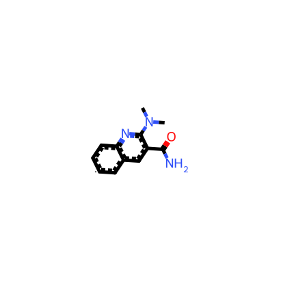 CN(C)c1nc2cc[c]cc2cc1C(N)=O